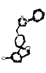 Clc1ccc2c(c1)C1(CCN(Cc3cnn(-c4ccccc4)c3)CC1)OC2